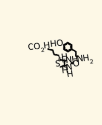 NCCc1ccc(O)cc1.O=C(O)CCCC[C@@H]1SC[C@@H]2NC(=O)N[C@@H]21